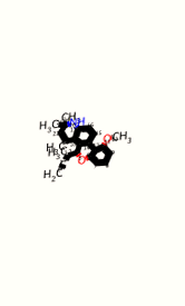 C=C=C(C)C1Oc2cccc(OC)c2-c2ccc3c(c21)C(C)=CC(C)(C)N3